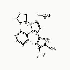 Cc1[nH]c(C2=C(c3ccccc3)[N+](C3CCCC3)C(CC(=O)O)=N2)nc1C(=O)O